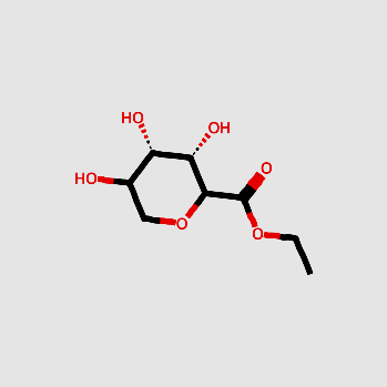 CCOC(=O)C1OCC(O)[C@H](O)[C@@H]1O